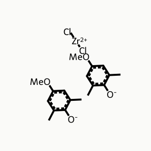 COc1cc(C)c([O-])c(C)c1.COc1cc(C)c([O-])c(C)c1.[Cl][Zr+2][Cl]